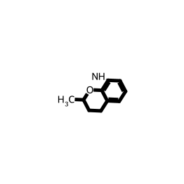 CC1CCc2ccccc2O1.N